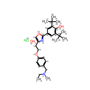 CCN(C)Cc1ccc(OCCc2coc(-c3cc(C(C)(C)C)c(O)c(C(C)(C)C)c3)n2)cc1.Cl.O